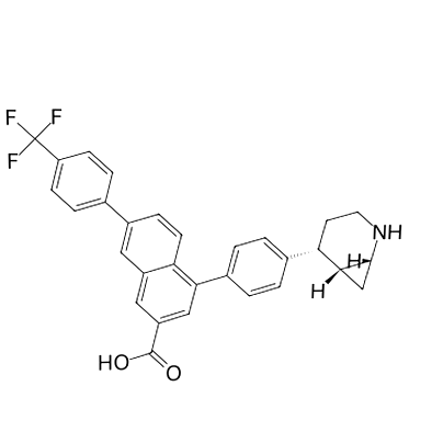 O=C(O)c1cc(-c2ccc([C@@H]3CCN[C@@H]4C[C@@H]43)cc2)c2ccc(-c3ccc(C(F)(F)F)cc3)cc2c1